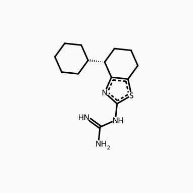 N=C(N)Nc1nc2c(s1)CCC[C@H]2C1CCCCC1